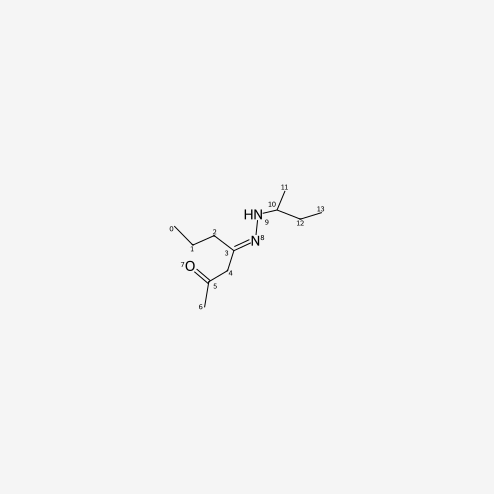 CCC/C(CC(C)=O)=N\NC(C)CC